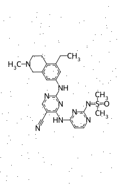 CCc1cc(Nc2ncc(C#N)c(Nc3ccnc(N=S(C)(C)=O)n3)n2)cc2c1CCN(C)C2